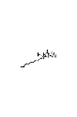 CCCCCCCCCC=CC[N+]1(C(C)N)C=NCC1